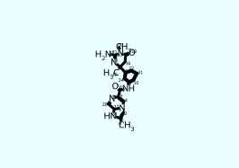 CC1=CN2C=C(C(=O)Nc3cccc(C4(C)CC(=O)N(C)C(N)=N4)c3)N=CC2N1